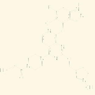 C=CC(=O)N1CCN(c2nc(OCC3CCN(C)C3)nc3c(Oc4c(Cl)c(F)cc5[nH]ncc45)nccc23)CC1